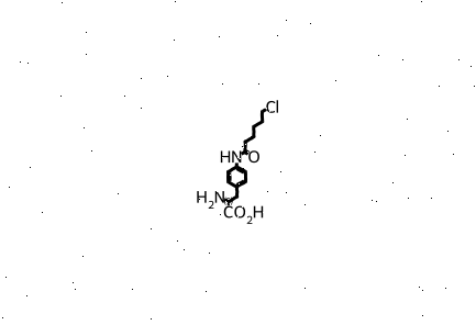 N[C@@H](Cc1ccc(NC(=O)CCCCCCl)cc1)C(=O)O